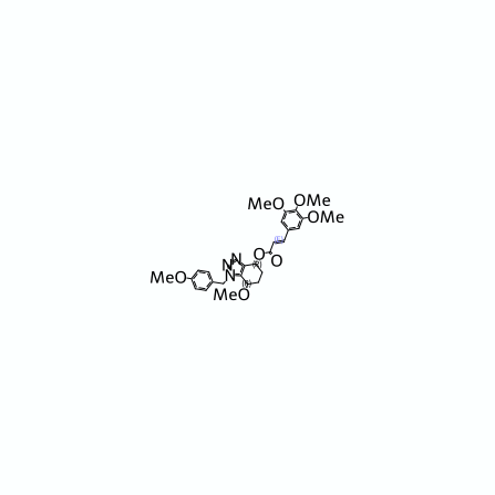 COc1ccc(Cn2nnc3c2[C@H](OC)CC[C@H]3OC(=O)/C=C/c2cc(OC)c(OC)c(OC)c2)cc1